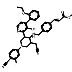 CCOc1ccccc1-c1ccnc(C2CN(c3ccc(C#N)c(F)c3)CC(CC#N)C2NCc2ccc(/C=C/C(=O)OC)cc2)c1O